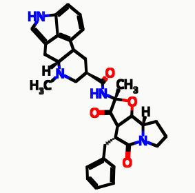 CN1C[C@H](C(=O)N[C@]2(C)OC3C(C2=O)[C@@H](Cc2ccccc2)C(=O)N2CCC[C@@H]32)CC2c3cccc4[nH]cc(c34)C[C@H]21